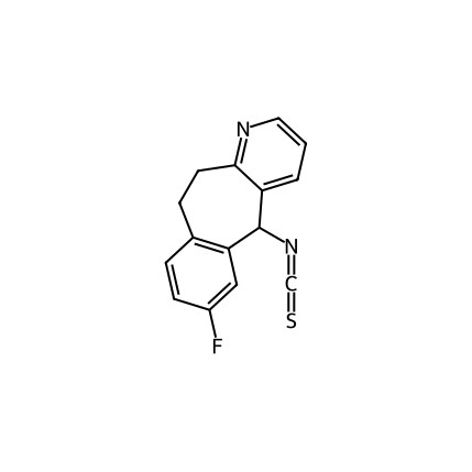 Fc1ccc2c(c1)C(N=C=S)c1cccnc1CC2